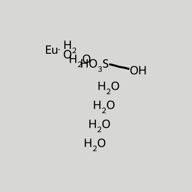 O.O.O.O.O.O.O=S(=O)(O)O.[Eu]